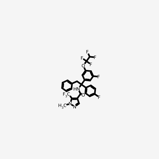 Cn1ncc(C(=O)NC(Cc2ccccc2)(c2ccc(F)cc2)c2cc(F)cc(OC(F)(F)C(F)F)c2)c1C(F)(F)F